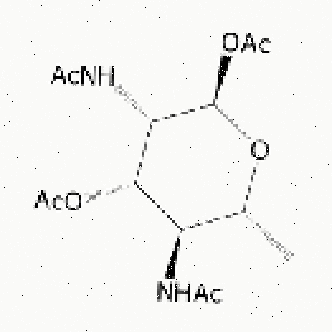 CC(=O)N[C@@H]1[C@@H](OC(C)=O)O[C@H](C)[C@@H](NC(C)=O)[C@@H]1OC(C)=O